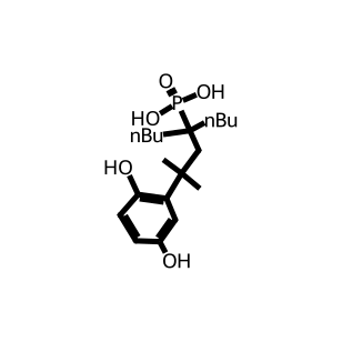 CCCCC(CCCC)(CC(C)(C)c1cc(O)ccc1O)P(=O)(O)O